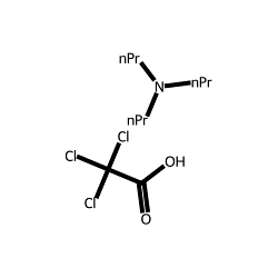 CCCN(CCC)CCC.O=C(O)C(Cl)(Cl)Cl